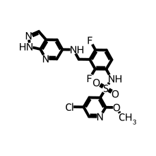 COc1ncc(Cl)cc1S(=O)(=O)Nc1ccc(F)c(CNc2cnc3[nH]ncc3c2)c1F